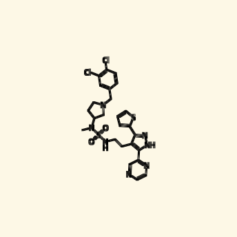 CN(C1CCN(Cc2ccc(Cl)c(Cl)c2)C1)S(=O)(=O)NCCc1c(-c2cccs2)n[nH]c1-c1cnccn1